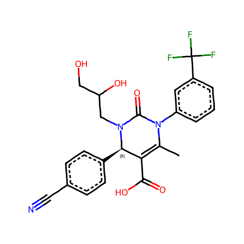 CC1=C(C(=O)O)[C@@H](c2ccc(C#N)cc2)N(CC(O)CO)C(=O)N1c1cccc(C(F)(F)F)c1